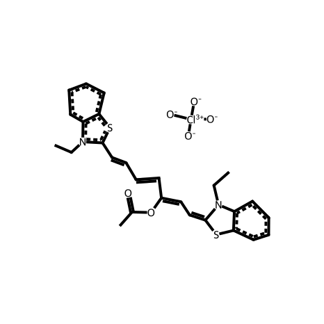 CCN1C(=CC=C(C=CC=Cc2sc3ccccc3[n+]2CC)OC(C)=O)Sc2ccccc21.[O-][Cl+3]([O-])([O-])[O-]